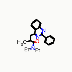 CCN(CC)C(=O)C(C)Cc1nc(-c2ccccc2)nc2ccccc12